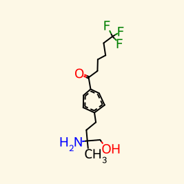 CC(N)(CO)CCc1ccc(C(=O)CCCCC(F)(F)F)cc1